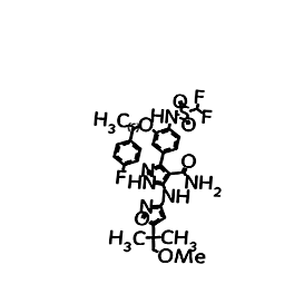 COCC(C)(C)c1cc(Nc2[nH]nc(-c3ccc(NS(=O)(=O)C(F)F)c(O[C@@H](C)c4ccc(F)cc4)c3)c2C(N)=O)no1